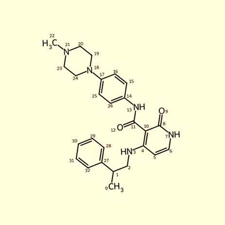 CC(CNc1cc[nH]c(=O)c1C(=O)Nc1ccc(N2CCN(C)CC2)cc1)c1ccccc1